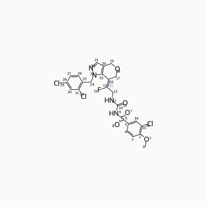 COc1ccc(S(=O)(=O)NC(=O)NC/C(F)=C2\COCc3cnn(Cc4ccc(Cl)cc4Cl)c32)cc1Cl